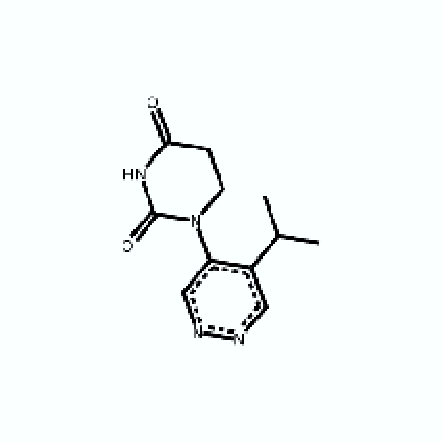 CC(C)c1cnncc1N1CCC(=O)NC1=O